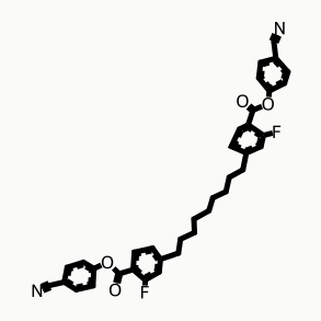 N#Cc1ccc(OC(=O)c2ccc(CCCCCCCCCc3ccc(C(=O)Oc4ccc(C#N)cc4)c(F)c3)cc2F)cc1